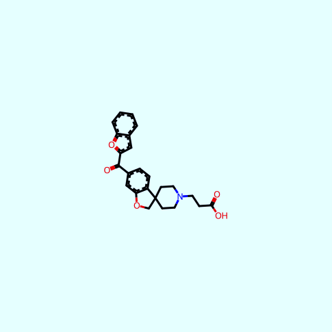 O=C(O)CCN1CCC2(CC1)COc1cc(C(=O)c3cc4ccccc4o3)ccc12